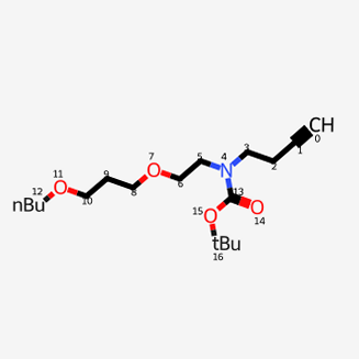 C#CCCN(CCOCCCOCCCC)C(=O)OC(C)(C)C